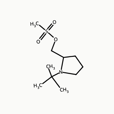 CC(C)(C)N1CCCC1COS(C)(=O)=O